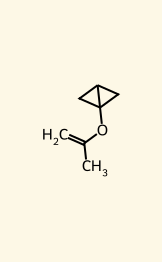 C=C(C)OC12CC1C2